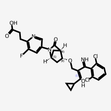 N=C(/C(CO[C@@H]1C[C@@H]2C[C@H]1C(=O)N2c1cnc(CCC(=O)O)c(F)c1)=C(\O)C1CC1)c1c(Cl)cccc1Cl